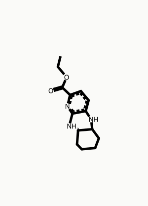 CCOC(=O)c1ccc(NC2CCCCC2)c(N)n1